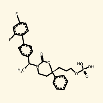 C[C@@H](c1ccc(-c2ccc(F)cc2F)cc1)N1CC[C@@](CCCOP(=O)(O)O)(c2ccccc2)OC1=O